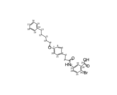 O=C(CCc1ccc(OCCCCCc2ccccc2)cc1)Nc1ccc(Br)c(C(=O)O)c1